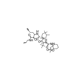 C#CCCC(NC(=O)[C@@H]1CC(C)(C)C(C)CN1C(=O)[C@@H](NC(=O)NC1(CS(C)(=O)=O)CCCCC1)C(C)(C)C)C(=O)C(=O)NCC=C